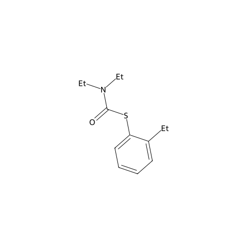 CCc1ccccc1SC(=O)N(CC)CC